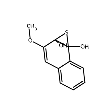 COC1=Cc2ccccc2C2(O)SC12O